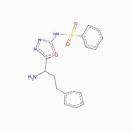 NC(CCc1ccccc1)c1nnc(NS(=O)(=O)c2ccccc2)o1